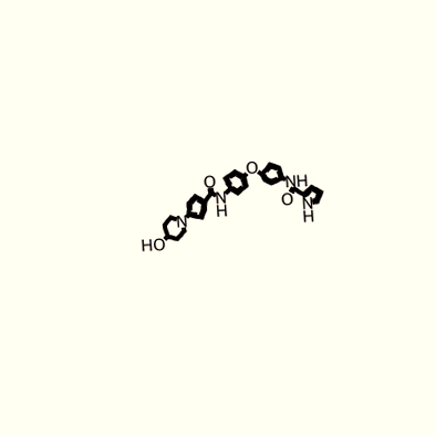 O=C(Nc1ccc(Oc2ccc(NC(=O)c3ccc[nH]3)cc2)cc1)c1ccc(N2CCC(O)CC2)cc1